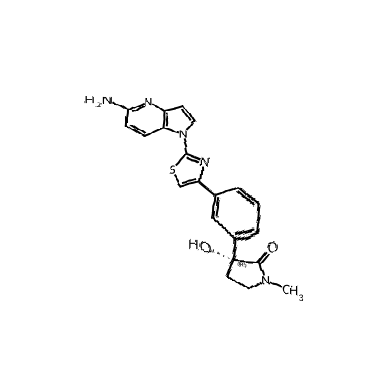 CN1CC[C@@](O)(c2cccc(-c3csc(-n4ccc5nc(N)ccc54)n3)c2)C1=O